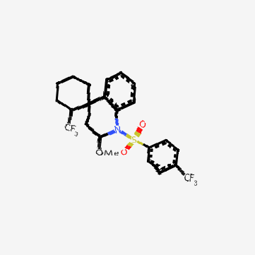 COC1CC2(CCCCC2C(F)(F)F)c2ccccc2N1S(=O)(=O)c1ccc(C(F)(F)F)cc1